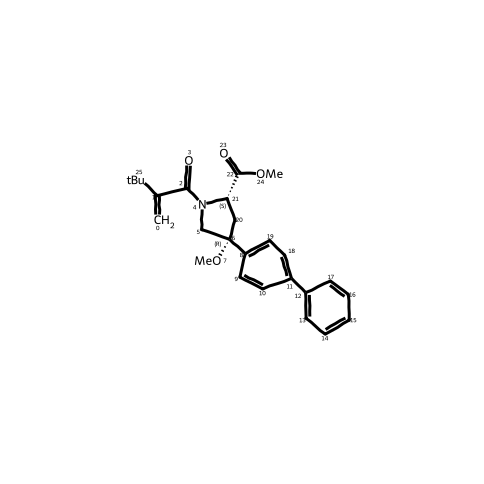 C=C(C(=O)N1C[C@](OC)(c2ccc(-c3ccccc3)cc2)C[C@H]1C(=O)OC)C(C)(C)C